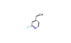 [CH]=Cc1ccnc(F)c1